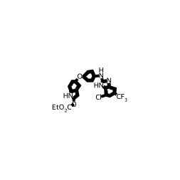 CCOC(=O)Oc1cc2cc(Oc3ccc(Nc4nc5cc(C(F)(F)F)cc(Cl)c5[nH]4)cc3)ccc2[nH]1